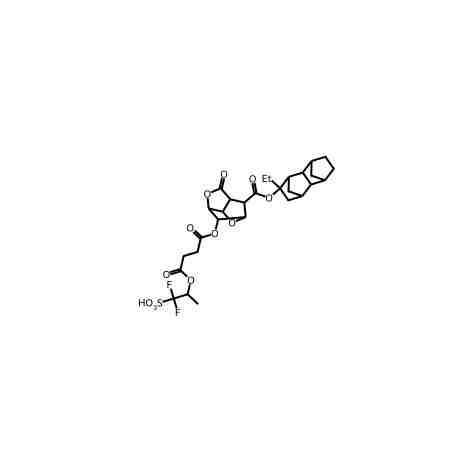 CCC1(OC(=O)C2C3OC4C(OC(=O)C42)C3OC(=O)CCC(=O)OC(C)C(F)(F)S(=O)(=O)O)CC2CC1C1C3CCC(C3)C21